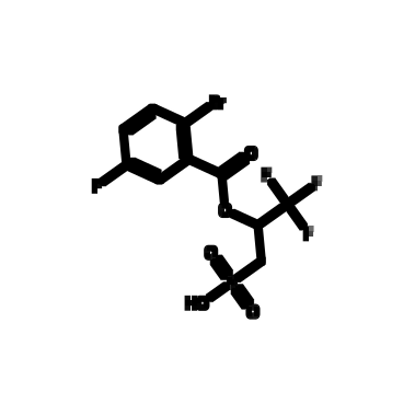 O=C(OC(CS(=O)(=O)O)C(F)(F)F)c1cc(F)ccc1Br